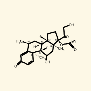 CCCC(=O)O[C@]1(C(=O)CO)CC[C@H]2[C@@H]3C[C@H](C)C4=CC(=O)C=C[C@]4(C)[C@@]3(F)C(O)C[C@@]21C